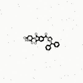 O=C1CCC(N2C(=O)c3ccc(C(=O)N4CCN(C(c5ccccc5)c5ccccc5)C4)cc3C2=O)C(=O)N1